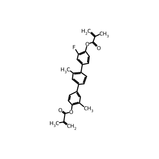 C=C(C)C(=O)Oc1ccc(-c2ccc(-c3ccc(OC(=O)C(=C)C)c(F)c3)c(C)c2)cc1C